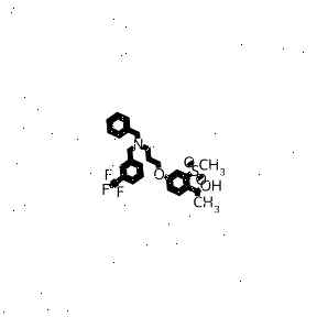 CC(O)c1ccc(OCCCN(Cc2ccccc2)Cc2cccc(C(F)(F)F)c2)cc1S(C)(=O)=O